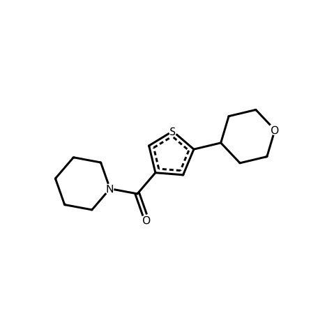 O=C(c1csc(C2CCOCC2)c1)N1CCCCC1